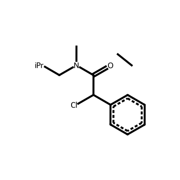 CC.CC(C)CN(C)C(=O)C(Cl)c1ccccc1